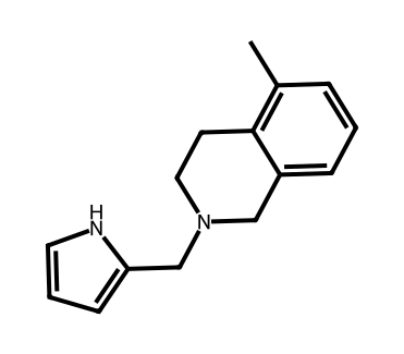 Cc1cccc2c1CCN(Cc1ccc[nH]1)C2